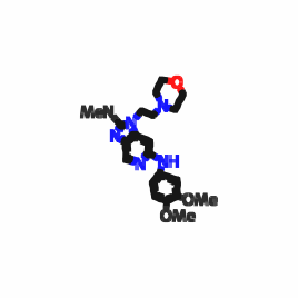 CNc1nc2cnc(Nc3ccc(OC)c(OC)c3)cc2n1CCN1CCOCC1